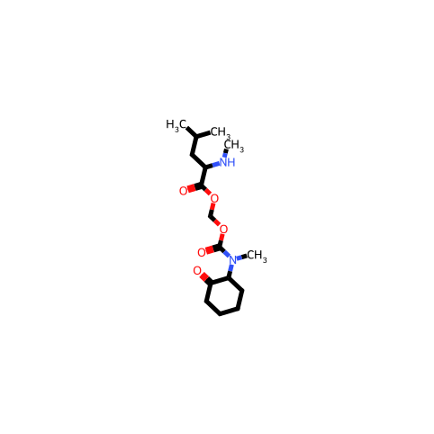 CNC(CC(C)C)C(=O)OCOC(=O)N(C)C1CCCCC1=O